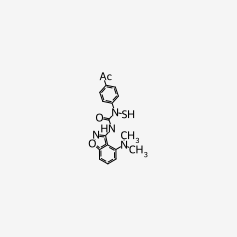 CC(=O)c1ccc(N(S)C(=O)Nc2noc3cccc(N(C)C)c23)cc1